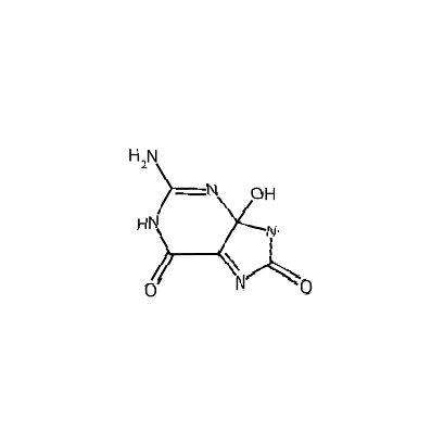 NC1=NC2(O)[N]C(=O)N=C2C(=O)N1